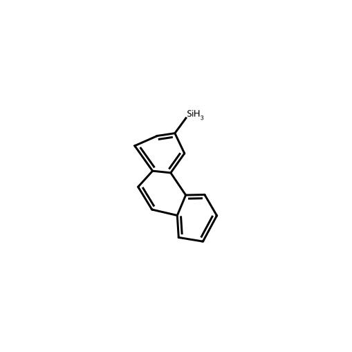 [SiH3]c1ccc2ccc3ccccc3c2c1